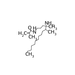 C=C(C)C(=O)NCCCC(C)(N)C(C)CCCCCCCCCC